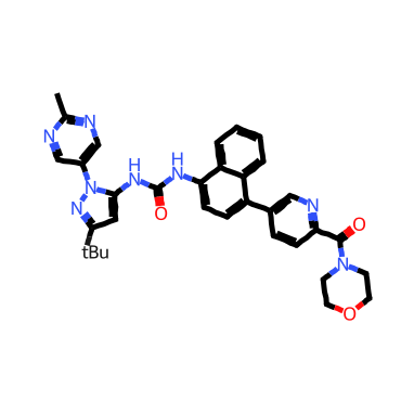 Cc1ncc(-n2nc(C(C)(C)C)cc2NC(=O)Nc2ccc(-c3ccc(C(=O)N4CCOCC4)nc3)c3ccccc23)cn1